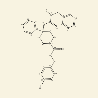 CN(Cc1cccnc1)C(=O)OC1(c2ccccc2)CCN(C(=O)CCc2ccc(F)cc2)CC1